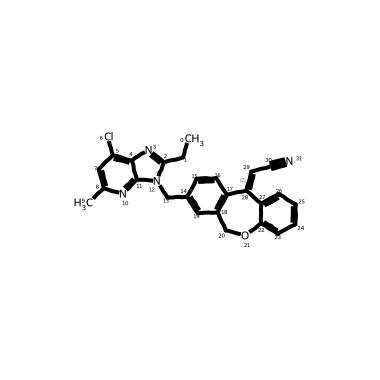 CCc1nc2c(Cl)cc(C)nc2n1Cc1ccc2c(c1)COc1ccccc1/C2=C\C#N